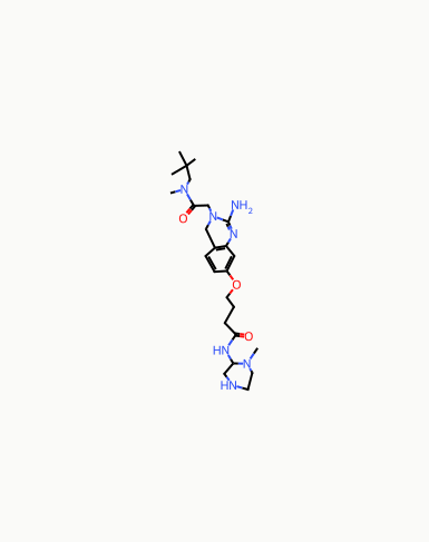 CN(CC(C)(C)C)C(=O)CN1Cc2ccc(OCCCC(=O)NC3CNCCN3C)cc2N=C1N